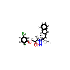 CC(C)(CC1Cc2ccccc2C1)NCC(O)COc1cc(Br)ccc1F